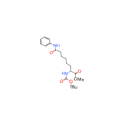 COC(=O)C(CCCCCC(=O)Nc1ccccc1)NC(=O)OC(C)(C)C